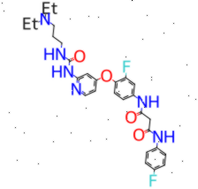 CCN(CC)CCCNC(=O)Nc1cc(Oc2ccc(NC(=O)CC(=O)Nc3ccc(F)cc3)cc2F)ccn1